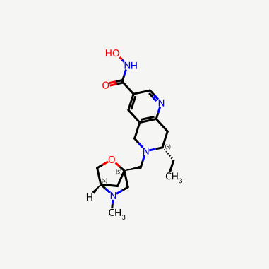 CC[C@H]1Cc2ncc(C(=O)NO)cc2CN1C[C@@]12C[C@@H](CO1)N(C)C2